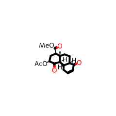 COC(=O)[C@@H]1C[C@H](OC(C)=O)C(=O)[C@@H]2[C@H]3CC=CC(=O)[C@@H]3CC[C@]21C